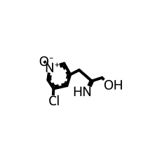 N=C(CO)Cc1cc(Cl)c[n+]([O-])c1